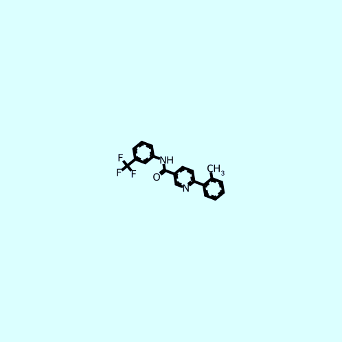 Cc1ccccc1-c1ccc(C(=O)Nc2cccc(C(F)(F)F)c2)cn1